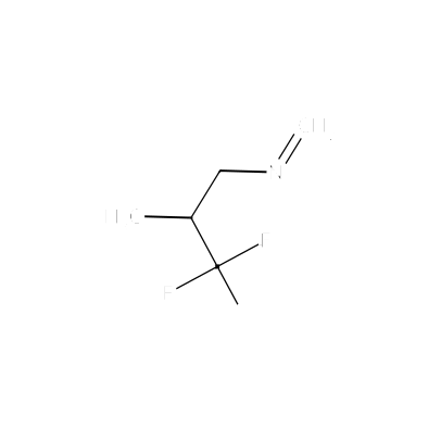 C=NCC(C)C(F)(F)F